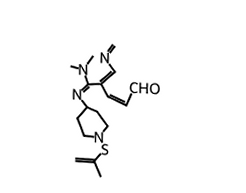 C=N/C=C(/C=C\C=O)C(=N/C1CCN(SC(=C)C)CC1)\N(C)C